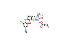 CC(=O)OCn1nc(Cc2ccc(Cl)c(Oc3cc(Cl)cc(C#N)c3)c2F)n(C)c1=O